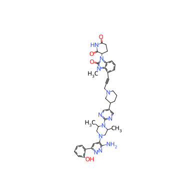 CC1CN(c2cc(-c3ccccc3O)nnc2N)CC(C)N1c1ncc(C2CCCN(CC#Cc3cccc4c3n(C)c(=O)n4C3CCC(=O)NC3=O)C2)cn1